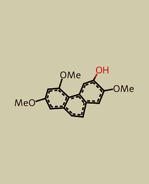 COc1cc(OC)c2c(ccc3cc(OC)c(O)cc32)c1